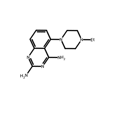 CCN1CCN(c2cccc3nc(N)nc(N)c23)CC1